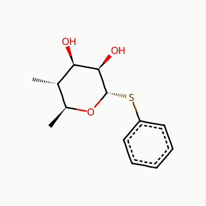 C[C@@H]1[C@@H](O)[C@@H](O)[C@H](Sc2ccccc2)O[C@H]1C